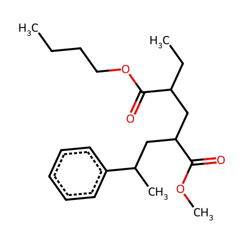 CCCCOC(=O)C(CC)CC(CC(C)c1ccccc1)C(=O)OC